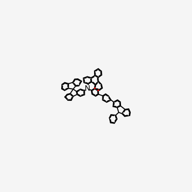 c1ccc(C2c3ccccc3-c3ccc(-c4ccc(-c5ccc(N(c6ccc7c(c6)C6(c8ccccc8-c8ccccc86)c6ccccc6-7)c6cccc7c8ccccc8c8ccccc8c67)cc5)cc4)cc32)cc1